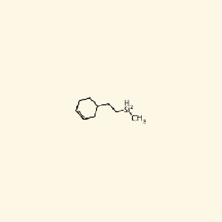 C[SiH2]CCC1CC=CCC1